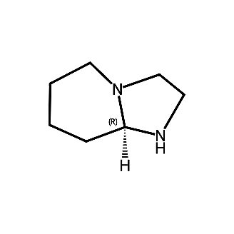 C1CCN2CCN[C@H]2C1